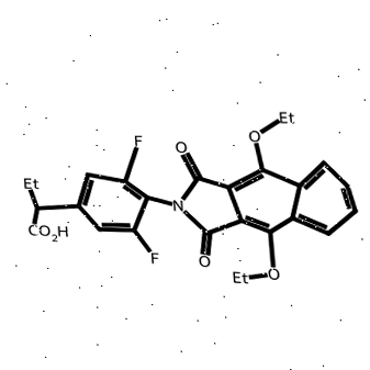 CCOc1c2c(c(OCC)c3ccccc13)C(=O)N(c1c(F)cc(C(CC)C(=O)O)cc1F)C2=O